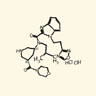 CC(C)CN(C(=O)c1nc2ccccc2n1CCc1ncon1)[C@@H]1CNC[C@H](C(=O)N2CCOCC2)C1.Cl.Cl